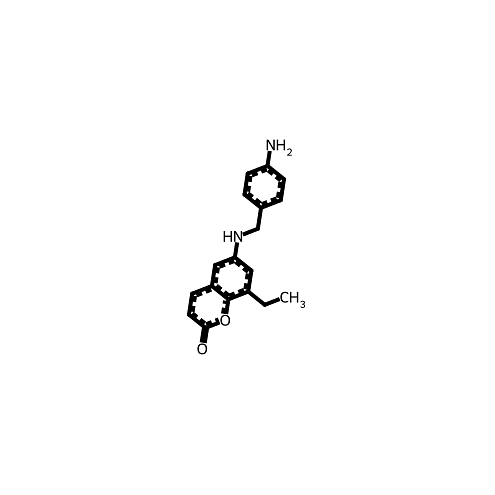 CCc1cc(NCc2ccc(N)cc2)cc2ccc(=O)oc12